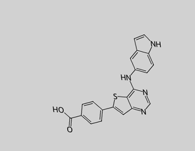 O=C(O)c1ccc(-c2cc3ncnc(Nc4ccc5[nH]ccc5c4)c3s2)cc1